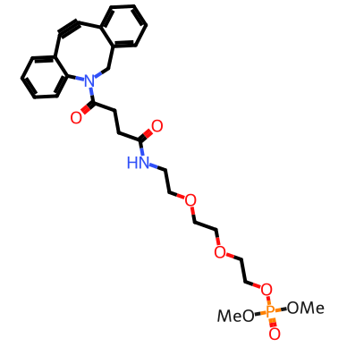 COP(=O)(OC)OCCOCCOCCNC(=O)CCC(=O)N1Cc2ccccc2C#Cc2ccccc21